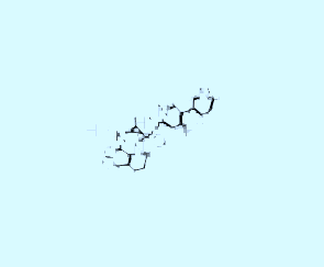 CN(C(=O)C1=C(C=O)CCCN1CC(=O)Nc1cc(F)c(-c2cccnc2)cn1)C1CC1